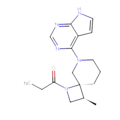 C[C@H]1CN(C(=O)CC#N)[C@]12CCCN(c1ncnc3[nH]ccc13)C2